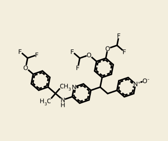 CC(C)(Nc1ccc(C(Cc2cc[n+]([O-])cc2)c2ccc(OC(F)F)c(OC(F)F)c2)cn1)c1ccc(OC(F)F)cc1